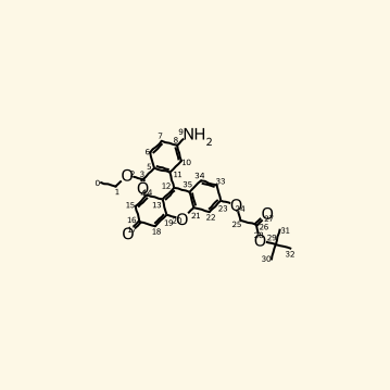 CCOC(=O)c1ccc(N)cc1-c1c2ccc(=O)cc-2oc2cc(OCC(=O)OC(C)(C)C)ccc12